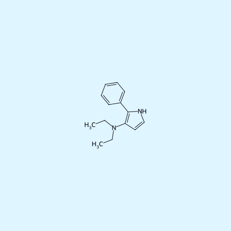 CCN(CC)c1cc[nH]c1-c1ccccc1